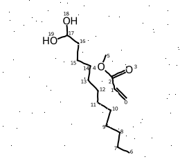 C=CC(=O)OC.CCCCCCCCCCCC(O)O